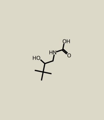 CC(C)(C)C(O)CNC(=O)O